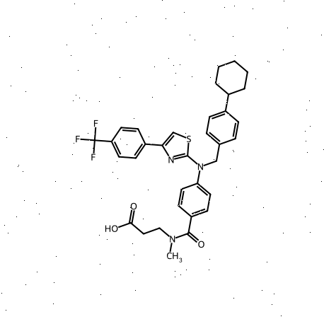 CN(CCC(=O)O)C(=O)c1ccc(N(Cc2ccc(C3CCCCC3)cc2)c2nc(-c3ccc(C(F)(F)F)cc3)cs2)cc1